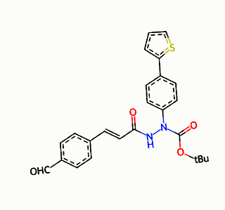 CC(C)(C)OC(=O)N(NC(=O)C=Cc1ccc(C=O)cc1)c1ccc(-c2cccs2)cc1